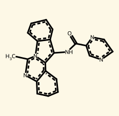 Cc1nc2ccccc2c2c(NC(=O)c3cnccn3)c3ccccc3n12